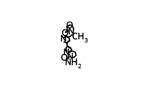 CC(c1cncc(-c2cnc3c(c2)CCCN3C(N)=O)c1)N1CCOCC1=O